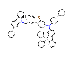 C/C=c1/sc2cc(N(c3ccc(-c4ccccc4)cc3)c3ccc4c(c3)C(c3ccccc3)(c3ccccc3)c3ccccc3-4)ccc2/c1=C/C=C/n1c2ccccc2c2ccc(-c3ccccc3)cc21